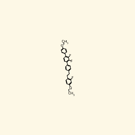 CCOc1ccc(-c2ccc(-c3ccc(CCc4ccc(OCC)cc4F)cc3)c(F)c2F)cc1